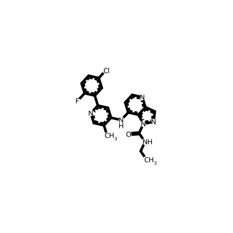 CCNC(=O)n1ncc2nccc(Nc3cc(-c4cc(Cl)ccc4F)ncc3C)c21